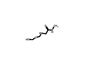 CNC(=O)CNCCCO